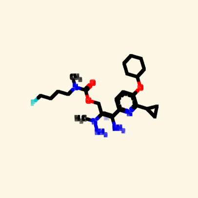 CN(CCCCF)C(=O)OC/C(=C(/N)c1ccc(OC2CCCCC2)c(C2CC2)n1)N(C)N